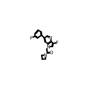 O=C(Cn1cc(F)c2ncc(-c3cccc(F)c3)cc21)N1CCC1